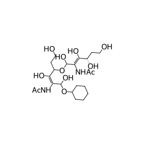 CC(=O)N/C(=C(\O)C(CCO)OC(O)/C(NC(C)=O)=C(\O)[C@@H](O)CCO)C(O)OC1CCCCC1